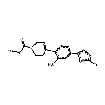 CCc1nnc(-c2cnc(C3=CCN(C(=O)OC(C)(C)C)CC3)c(C)c2)o1